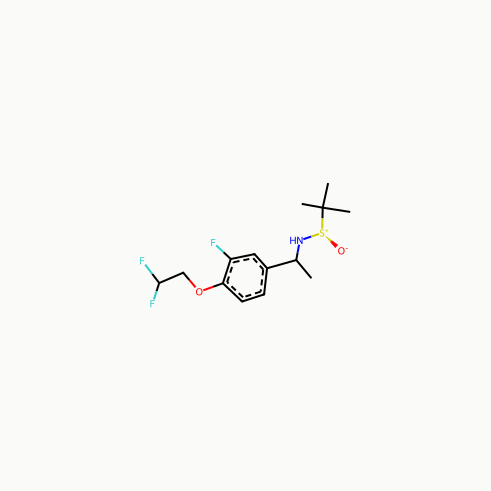 CC(N[S@+]([O-])C(C)(C)C)c1ccc(OCC(F)F)c(F)c1